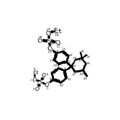 CCOS(=O)(=O)Oc1ccc(C2(c3ccc(OS(=O)(=O)OCC)cc3)CC(C)CC(C)(C)C2)cc1